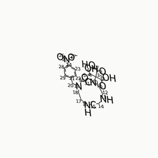 O=C(O)C(C(=O)O)(C(=O)O)N1CCNCCNCCN(Cc2ccc([N+](=O)[O-])cc2)CC1